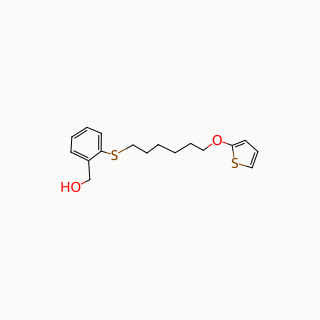 OCc1ccccc1SCCCCCCOc1cccs1